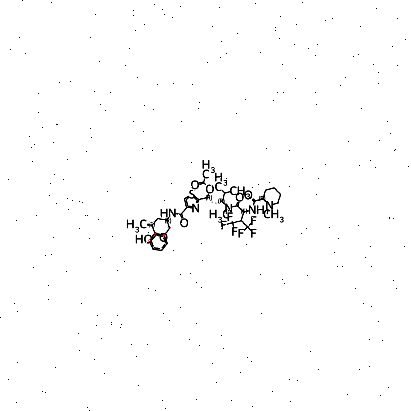 CC(=O)O[C@H](C[C@H](C(C)C)N(C)C(=O)[C@@H](NC(=O)[C@H]1CCCCN1C)C(C(F)(F)F)C(F)(F)F)c1nc(C(=O)N[C@@H](Cc2ccccc2)C[C@H](C)C(=O)O)cs1